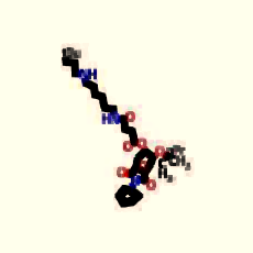 CCCC(C)(C)OC1C(OC(=O)CCC(=O)NCCCCCCNCCCC(C)(C)C)C2OC1C1C(=O)N(c3ccccc3)C(=O)C21